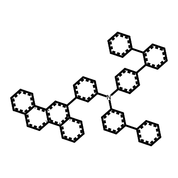 c1ccc(-c2cccc(N(c3ccc(-c4ccccc4-c4ccccc4)cc3)c3cccc(-c4cc5c6ccccc6ccc5c5ccccc45)c3)c2)cc1